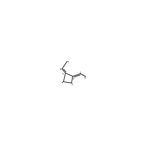 CC=C1CCC1=CC